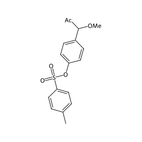 COC(C(C)=O)c1ccc(OS(=O)(=O)c2ccc(C)cc2)cc1